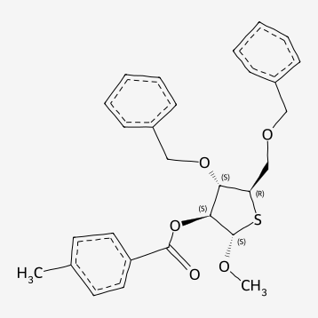 CO[C@H]1S[C@H](COCc2ccccc2)[C@@H](OCc2ccccc2)[C@@H]1OC(=O)c1ccc(C)cc1